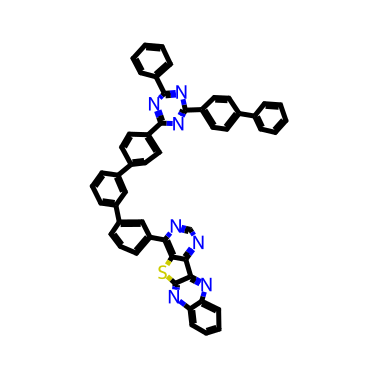 c1ccc(-c2ccc(-c3nc(-c4ccccc4)nc(-c4ccc(-c5cccc(-c6cccc(-c7ncnc8c7sc7nc9ccccc9nc78)c6)c5)cc4)n3)cc2)cc1